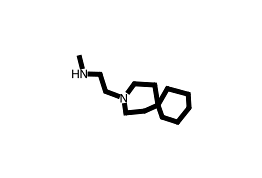 CNCCN1CCC2(CCCCC2)CC1